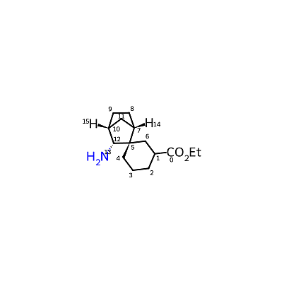 CCOC(=O)C1CCC[C@]2(C1)[C@H]1CC[C@H](C1)[C@H]2N